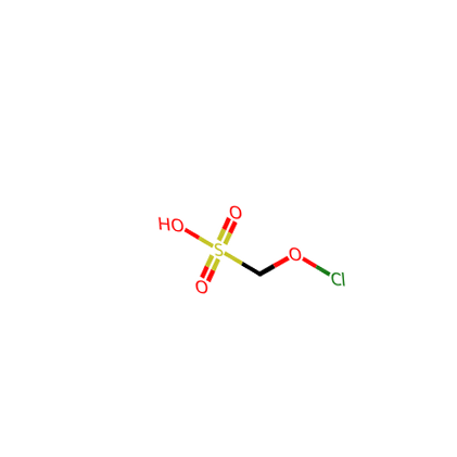 O=S(=O)(O)COCl